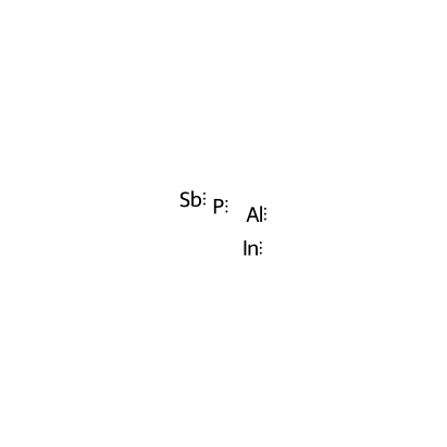 [Al].[In].[P].[Sb]